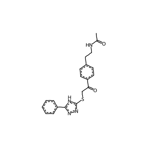 CC(=O)NCCc1ccc(C(=O)CSc2nnc(-c3ccccc3)[nH]2)cc1